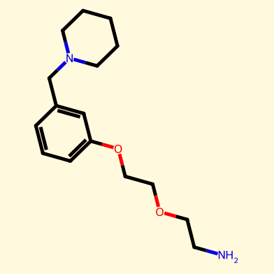 NCCOCCOc1cccc(CN2CCCCC2)c1